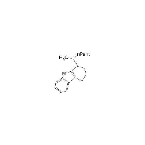 CCCCCC(C)C1CCCC2=C1[N]c1ccccc12